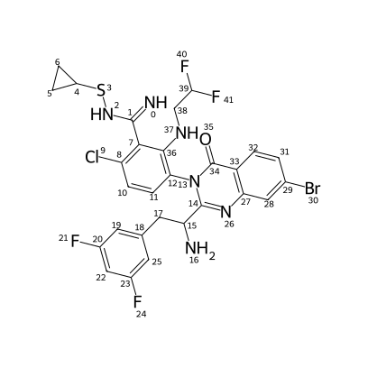 N=C(NSC1CC1)c1c(Cl)ccc(-n2c(C(N)Cc3cc(F)cc(F)c3)nc3cc(Br)ccc3c2=O)c1NCC(F)F